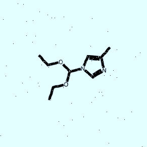 CCOC(OCC)n1cnc(C)c1